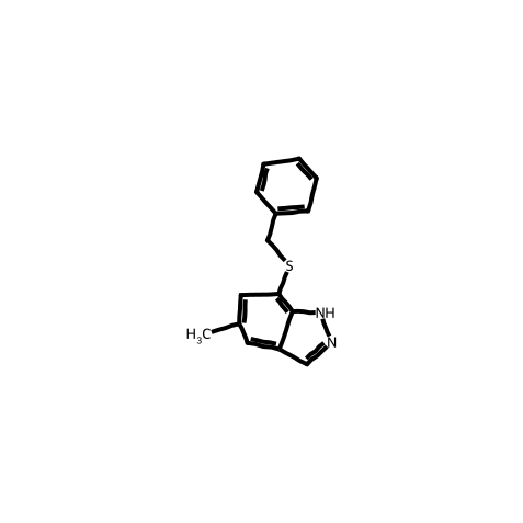 Cc1cc(SCc2ccccc2)c2[nH]ncc2c1